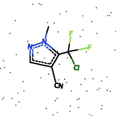 Cn1ncc(C#N)c1C(F)(F)Cl